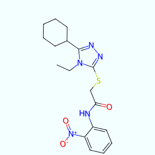 CCn1c(SCC(=O)Nc2ccccc2[N+](=O)[O-])nnc1C1CCCCC1